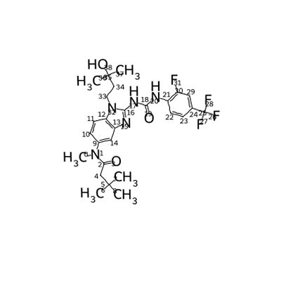 CN(C(=O)CC(C)(C)C)c1ccc2c(c1)nc(NC(=O)Nc1ccc(C(F)(F)F)cc1F)n2CCC(C)(C)O